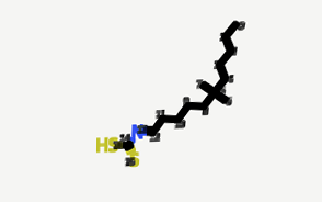 CCCCCC(C)(C)CCCC/C=N/C(=S)S